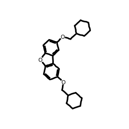 c1cc2oc3ccc(OCC4CCCCC4)cc3c2cc1OCC1CCCCC1